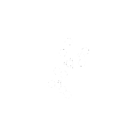 c1ccc(-c2cccc(-c3nc(-c4ccc(-n5c6ccccc6c6cc7ccccc7cc65)c5ccccc45)nc(-c4cccc5c4sc4ccccc45)n3)c2)cc1